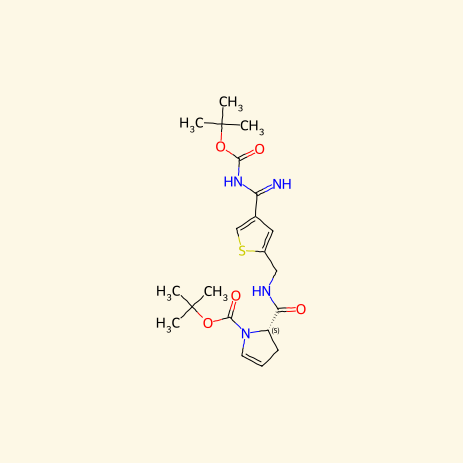 CC(C)(C)OC(=O)NC(=N)c1csc(CNC(=O)[C@@H]2CC=CN2C(=O)OC(C)(C)C)c1